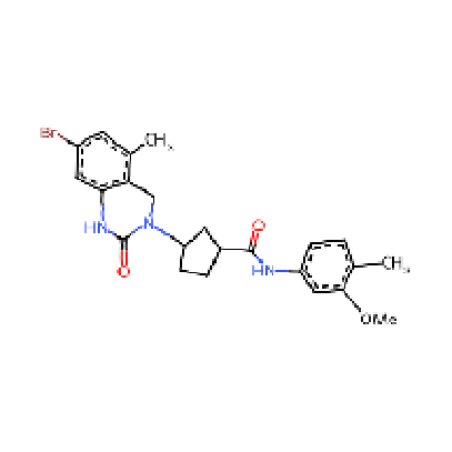 COc1cc(NC(=O)C2CCC(N3Cc4c(C)cc(Br)cc4NC3=O)C2)ccc1C